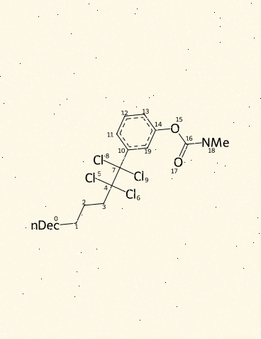 CCCCCCCCCCCCCC(Cl)(Cl)C(Cl)(Cl)c1cccc(OC(=O)NC)c1